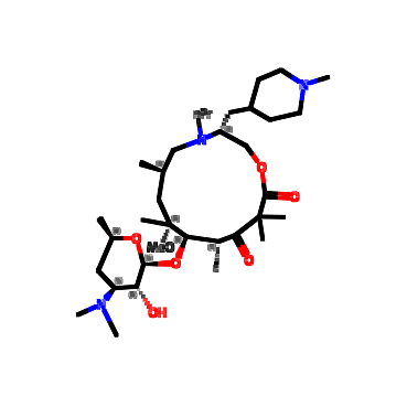 CCCN1C[C@H](C)C[C@@](C)(OC)[C@H](O[C@@H]2O[C@H](C)C[C@H](N(C)C)[C@H]2O)[C@@H](C)C(=O)C(C)(C)C(=O)OC[C@H]1CC1CCN(C)CC1